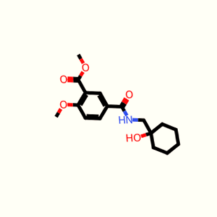 COC(=O)c1cc(C(=O)NCC2(O)CCCCC2)ccc1OC